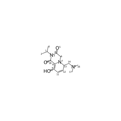 CC(C)N1C(=O)CN2C(=C(O)C=CC2CN(C)C)C1=O